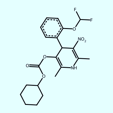 CC1=C(OC(=O)OC2CCCCC2)C(c2ccccc2OC(F)F)C([N+](=O)[O-])=C(C)N1